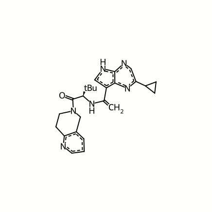 C=C(N[C@@H](C(=O)N1CCc2ncccc2C1)C(C)(C)C)c1c[nH]c2ncc(C3CC3)nc12